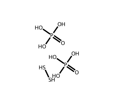 O=P(O)(O)O.O=P(O)(O)O.SS